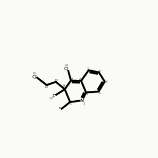 CC1N=c2ccccc2=C(Cl)C1(F)CCCl